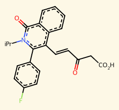 CC(C)n1c(-c2ccc(F)cc2)c(C=CC(=O)CC(=O)O)c2ccccc2c1=O